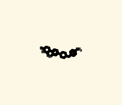 NC12CCC(CN3CCN(c4ccc(C5CCC(=O)NC5=O)c(Cl)c4)CC3)(CC1)OC2